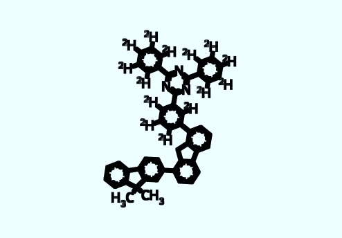 [2H]c1c([2H])c([2H])c(-c2nc(-c3c([2H])c([2H])c([2H])c([2H])c3[2H])nc(-c3c([2H])c([2H])c([2H])c(-c4cccc5c4Cc4c(-c6ccc7c(c6)C(C)(C)c6ccccc6-7)cccc4-5)c3[2H])n2)c([2H])c1[2H]